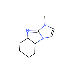 CN1C=CN2C1=NC1CCCCC12